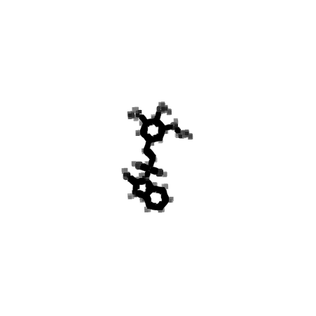 COc1cc(/C=C/S(=O)(=O)n2c(=O)sc3ccccc32)cc(C)c1C